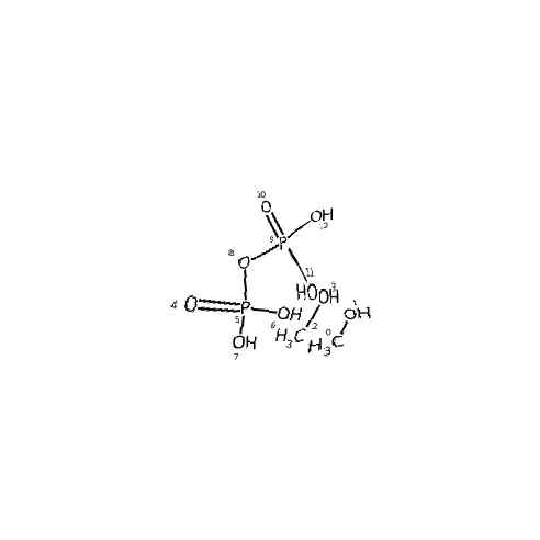 CO.CO.O=P(O)(O)OP(=O)(O)O